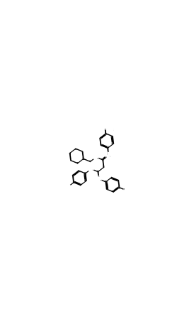 Cc1ccc(N=C(CC(Sc2ccc(F)cc2)Sc2ccc(F)cc2)SCC2CCCCC2)cc1